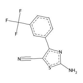 N#Cc1sc(N)nc1-c1cccc(C(F)(F)F)c1